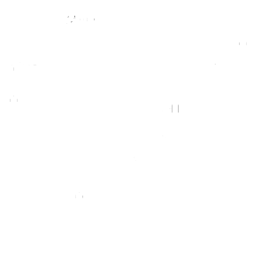 CCCCCCCCOc1ccc(C(=O)c2ccccc2)c(O)c1.COc1ccc(C(=O)c2ccc(C)cc2)c(O)c1